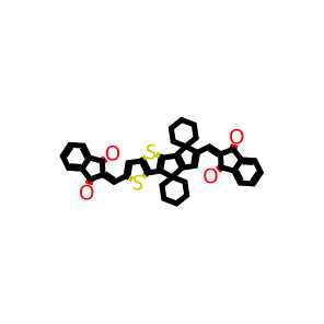 O=C1C(=CC2=CC3=C(c4sc5cc(C=C6C(=O)c7ccccc7C6=O)sc5c4C34CCCCC4)C23CCCCC3)C(=O)c2ccccc21